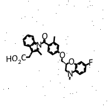 Cc1cc(OC[C@@H]2CN(C)c3ccc(F)cc3O2)ccc1C(=O)n1c(C)c(CC(=O)O)c2ccccc21